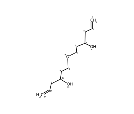 C=CCC(O)CCOCCC(O)CC=C